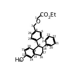 CCOC(=O)COCc1ccc(C2c3ccc(O)cc3CC[C@@H]2c2ccccc2)cc1